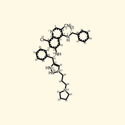 CC[C@@H](Nc1c(C#N)cnc2c(Cl)cc(N[C@H](C3=CN(CCCN4CCCC4)NN3)c3ccccc3)cc12)c1ccccc1